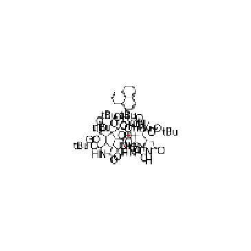 C1=Cc2cccc3cccc(c23)C1.CCCCC(C1CC(=O)NC1=O)(C(C1CC(=O)NC1=O)C(C)(OOC(C)(C)C)OOC(C)(C)C)C(O)(OO)OC(OO)(OO)C(CCCC)(C1CC(=O)NC1=O)C(C1CC(=O)NC1=O)C(C)(OOC(C)(C)C)OOC(C)(C)C